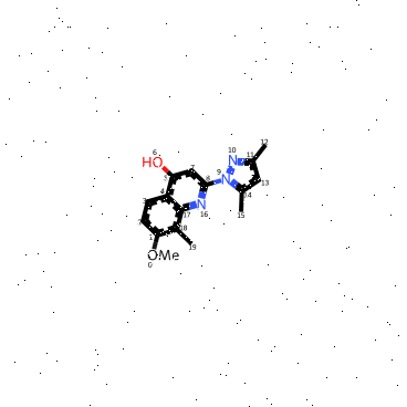 COc1ccc2c(O)cc(-n3nc(C)cc3C)nc2c1C